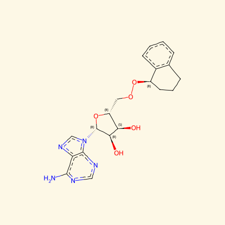 Nc1ncnc2c1ncn2[C@@H]1O[C@H](COO[C@@H]2CCCc3ccccc32)[C@@H](O)[C@H]1O